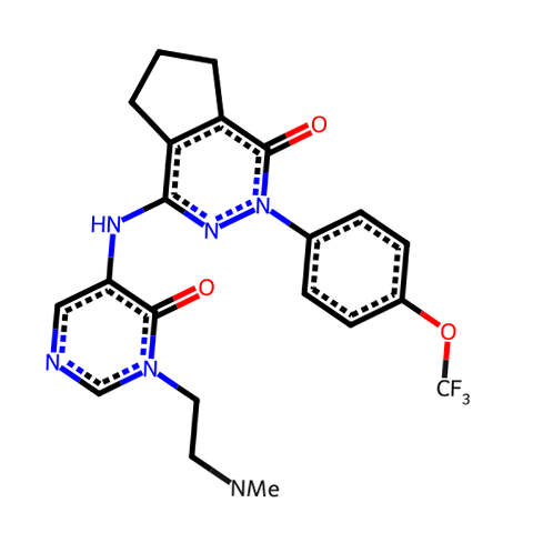 CNCCn1cncc(Nc2nn(-c3ccc(OC(F)(F)F)cc3)c(=O)c3c2CCC3)c1=O